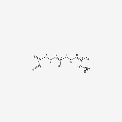 C=CC(=C)CC/C=C(\C)CC/C=C(/C)CO